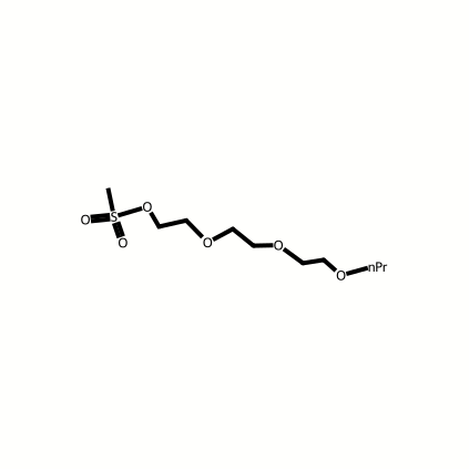 CCCOCCOCCOCCOS(C)(=O)=O